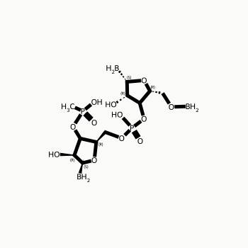 BOC[C@H]1O[C@@H](B)[C@@H](O)C1OP(=O)(O)OC[C@H]1O[C@@H](B)[C@@H](O)C1OP(C)(=O)O